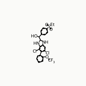 CCS(=O)(=O)c1ccc(C(O)C2Nc3cc(Cl)c(-c4ccccc4OC(F)(F)F)c(Cl)c3N2)cc1